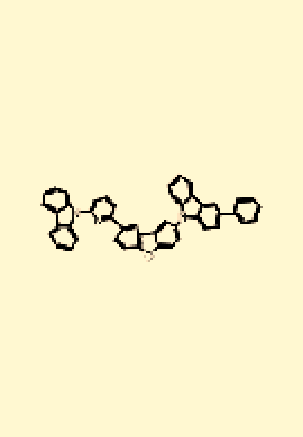 c1ccc(-c2ccc3c(c2)c2ccccc2n3-c2ccc3oc4ccc(-c5cccc(-n6c7ccccc7c7ccccc76)n5)cc4c3c2)cc1